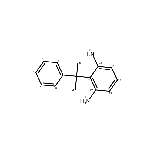 CC(C)(c1ccccc1)c1c(N)cccc1N